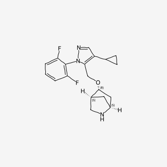 Fc1cccc(F)c1-n1ncc(C2CC2)c1CO[C@@H]1C[C@@H]2C[C@H]1CN2